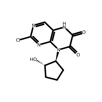 O=c1[nH]c2cnc(Cl)nc2n([C@H]2CCC[C@@H]2O)c1=O